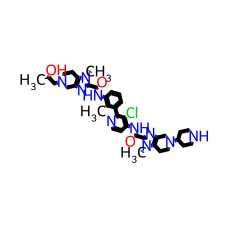 Cc1c(NC(=O)c2nc3c(n2C)CCN(C[C@H](C)O)C3)cccc1-c1nccc(NC(=O)c2nc3c(n2C)CCN(C2CCNCC2)C3)c1Cl